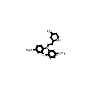 CCC1CCNC(CCN2c3ccc(OC)cc3Sc3ccc(SC)cc32)C1